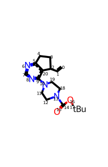 C=CC1CCc2ncnc(N3CCN(C(=O)OC(C)(C)C)CC3)c21